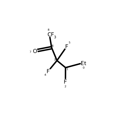 CCC(F)C(F)(F)C(=O)C(F)(F)F